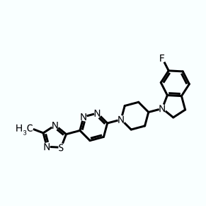 Cc1nsc(-c2ccc(N3CCC(N4CCc5ccc(F)cc54)CC3)nn2)n1